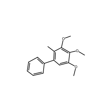 COc1cc(-c2ccccc2)c(C)c(OC)c1OC